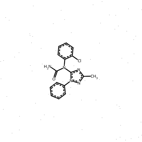 Cc1nc(N(C(N)=O)c2ccccc2Cl)n(-c2ccccc2)n1